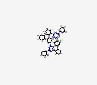 Clc1cc(-c2ccccc2-c2nc(-c3ccccc3)nc(-c3ccccc3)n2)ccc1-c1nc(-c2ccccc2)nc(-c2cccc(-c3ccccc3)c2)n1